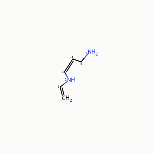 C=CN/C=C\CN